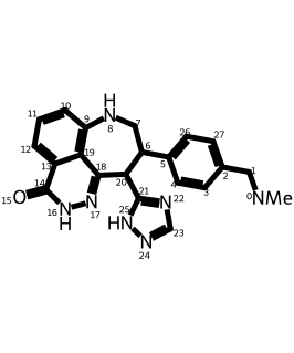 CNCc1ccc(C2CNc3cccc4c(=O)[nH]nc(c34)C2c2ncn[nH]2)cc1